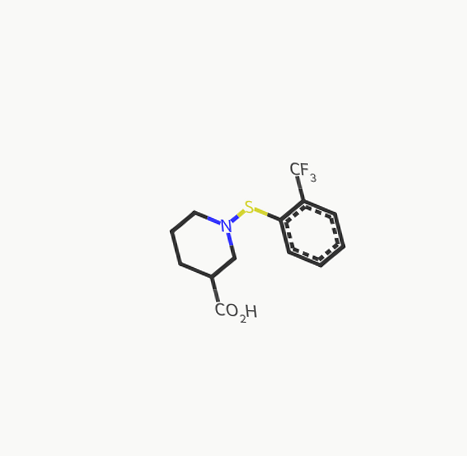 O=C(O)C1CCCN(Sc2ccccc2C(F)(F)F)C1